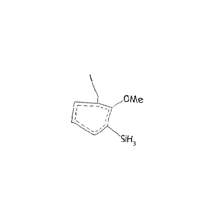 COc1c([SiH3])cccc1I